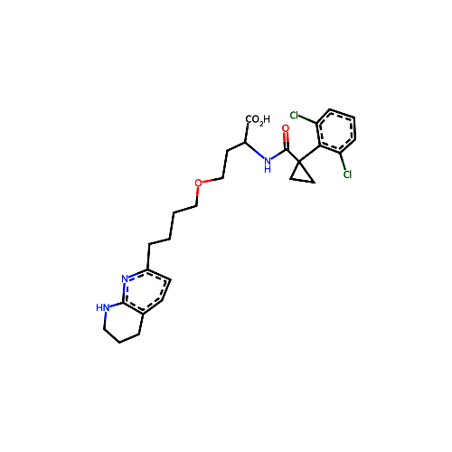 O=C(O)C(CCOCCCCc1ccc2c(n1)NCCC2)NC(=O)C1(c2c(Cl)cccc2Cl)CC1